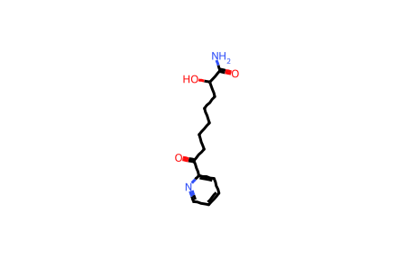 NC(=O)C(O)CCCCCC(=O)c1ccccn1